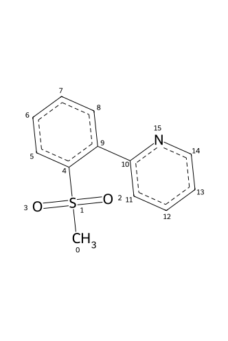 CS(=O)(=O)c1ccccc1-c1ccccn1